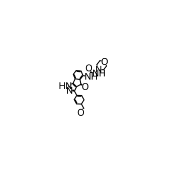 O=CC1C=CC(c2n[nH]c3c2C(=O)c2c(NC(=O)NN4CCOCC4)cccc2-3)=CC1